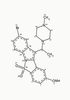 COc1ccc2c(c1)-c1c(C(C)N3CCN(C)CC3)c3cc(Br)ccc3n1S2(=O)=O